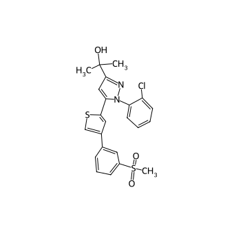 CC(C)(O)c1cc(-c2cc(-c3cccc(S(C)(=O)=O)c3)cs2)n(-c2ccccc2Cl)n1